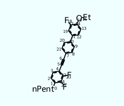 CCCCCc1ccc(C#Cc2ccc(-c3ccc(OCC)c(F)c3)cc2)c(F)c1F